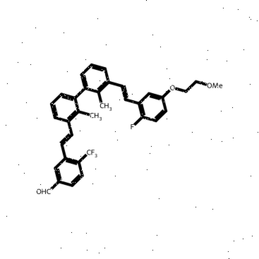 COCCOc1ccc(F)c(/C=C/c2cccc(-c3cccc(/C=C/c4cc(C=O)ccc4C(F)(F)F)c3C)c2C)c1